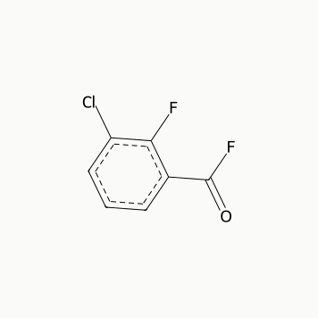 O=C(F)c1cccc(Cl)c1F